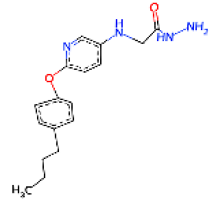 CCCCc1ccc(Oc2ccc(NCC(=O)NN)cn2)cc1